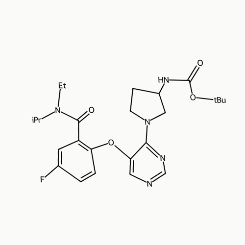 CCN(C(=O)c1cc(F)ccc1Oc1cncnc1N1CCC(NC(=O)OC(C)(C)C)C1)C(C)C